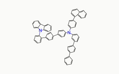 c1ccc(-c2ccc(-c3cccc(N(c4ccc(-c5ccc(-c6ccccc6-n6c7ccccc7c7ccccc76)cc5)cc4)c4ccc(-c5cccc6ccccc56)cc4)c3)cc2)cc1